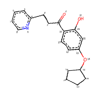 O=C(CCc1ccccn1)c1ccc(OC2CCCC2)cc1O